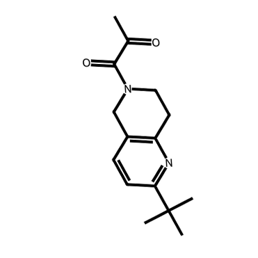 CC(=O)C(=O)N1CCc2nc(C(C)(C)C)ccc2C1